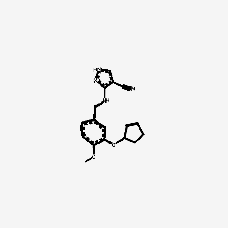 COc1ccc(CNc2n[nH]cc2C#N)cc1OC1CCCC1